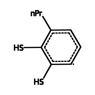 CCCc1cc[c]c(S)c1S